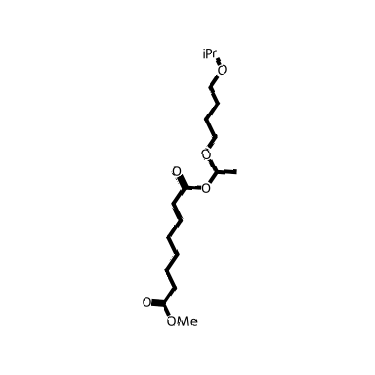 COC(=O)CCCCCCC(=O)OC(C)OCCCCOC(C)C